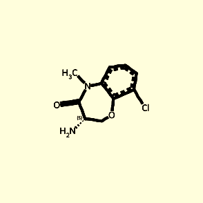 CN1C(=O)[C@@H](N)COc2c(Cl)cccc21